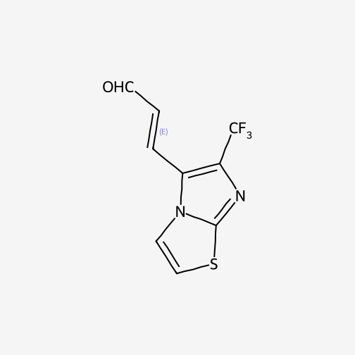 O=C/C=C/c1c(C(F)(F)F)nc2sccn12